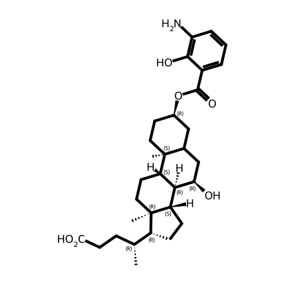 C[C@H](CCC(=O)O)[C@H]1CC[C@H]2[C@@H]3[C@H](O)CC4C[C@H](OC(=O)c5cccc(N)c5O)CC[C@]4(C)[C@H]3CC[C@]12C